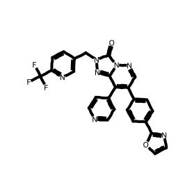 O=c1n(Cc2ccc(C(F)(F)F)nc2)nc2c(-c3ccncc3)c(-c3ccc(-c4ncco4)cc3)cnn12